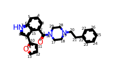 O=C(c1cccc2[nH]cc(-c3ccco3)c12)N1CCN(CCc2ccccc2)CC1